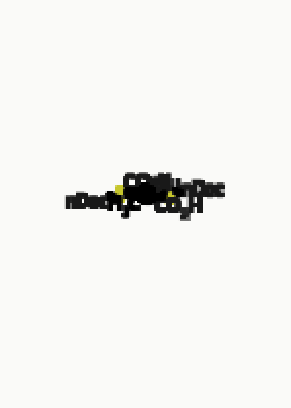 CCCCCCCCCCCCSCC(C(=O)O)c1cc(C(C)(C)C)c(C(CSCCCCCCCCCCCC)C(=O)O)cc1C